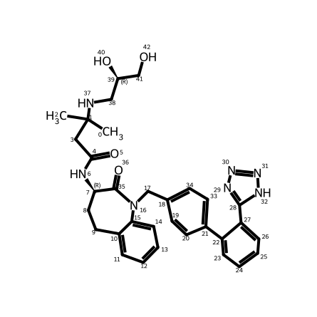 CC(C)(CC(=O)N[C@@H]1CCc2ccccc2N(Cc2ccc(-c3ccccc3-c3nnn[nH]3)cc2)C1=O)NC[C@@H](O)CO